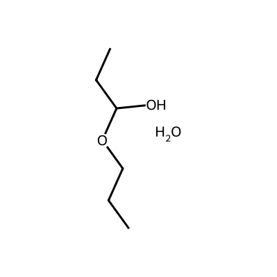 CCCOC(O)CC.O